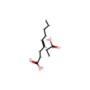 CCC(=O)O.CCCCC=CCCC(=O)O